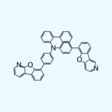 c1ccc(-c2ccccc2N(c2ccc(-c3cccc4c3oc3ccncc34)cc2)c2ccc(-c3cccc4c3oc3ncccc34)cc2)cc1